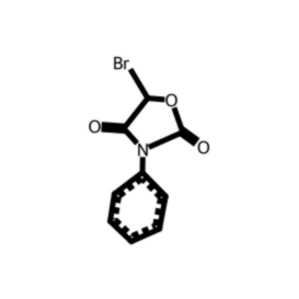 O=C1OC(Br)C(=O)N1c1ccccc1